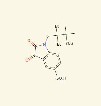 CCCCC(C)(C)C(CC)(CC)CN1C(=O)C(=O)c2cc(S(=O)(=O)O)ccc21